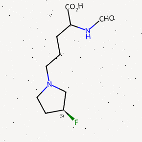 O=CNC(CCCN1CC[C@H](F)C1)C(=O)O